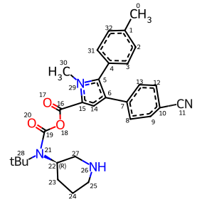 Cc1ccc(-c2c(-c3ccc(C#N)cc3)cc(C(=O)OC(=O)N([C@@H]3CCCNC3)C(C)(C)C)n2C)cc1